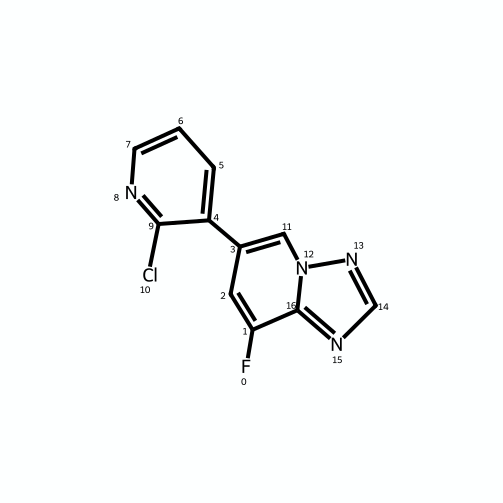 Fc1cc(-c2cccnc2Cl)cn2ncnc12